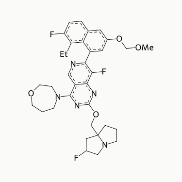 CCc1c(F)ccc2cc(OCOC)cc(-c3ncc4c(N5CCCOCC5)nc(OCC56CCCN5CC(F)C6)nc4c3F)c12